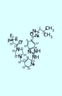 CC(C)Cc1noc(-c2ccc3nc(Nc4cc(CN5CCN(C(=O)CC(F)(F)F)CC5)ccn4)[nH]c3c2)n1